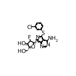 Nc1ncnc2c1c(Sc1cccc(Cl)c1)nn2[C@@H]1O[C@H](CO)[C@@H](O)C1F